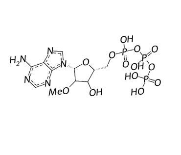 COC1C(O)[C@@H](COP(=O)(O)OP(=O)(O)OP(=O)(O)O)O[C@H]1n1cnc2c(N)ncnc21